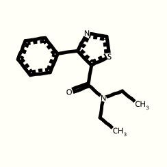 CCN(CC)C(=O)c1scnc1-c1ccccc1